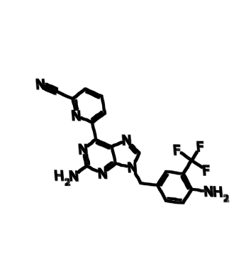 N#Cc1cccc(-c2nc(N)nc3c2ncn3Cc2ccc(N)c(C(F)(F)F)c2)n1